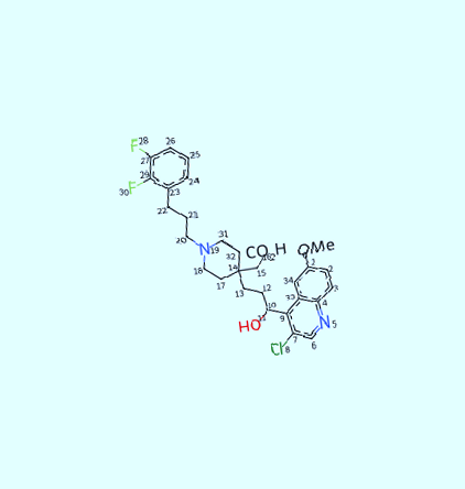 COc1ccc2ncc(Cl)c(C(O)CCC3(CC(=O)O)CCN(CCCc4cccc(F)c4F)CC3)c2c1